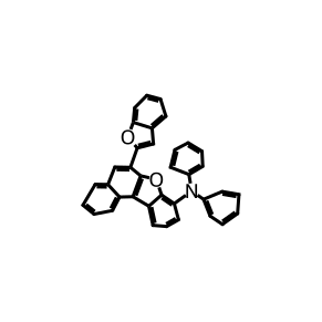 c1ccc(N(c2ccccc2)c2cccc3c2oc2c(-c4cc5ccccc5o4)cc4ccccc4c23)cc1